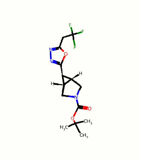 CC(C)(C)OC(=O)N1C[C@@H]2[C@H](C1)[C@H]2c1nnc(CC(F)(F)F)o1